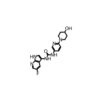 O=C(Nc1ccc(N2CCC(O)CC2)nc1)Nc1c[nH]c2ncc(F)cc12